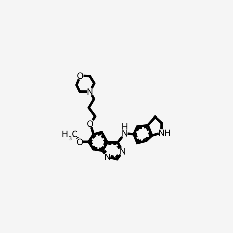 COc1cc2ncnc(Nc3ccc4c(c3)CCN4)c2cc1OCCCN1CCOCC1